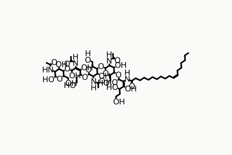 CCCCCC/C=C\CCCCCCCCCC(=O)N/C(=C(\O)C(O)CCO)C(O)OC1C(CO)OC(OC2C(CO)OC(O[C@@H](CCO)/C(O)=C(/NC(C)=O)C(O)OC3C(CO)OC(O)C(NC(C)=O)C3O)C(NC(C)=O)C2O)C(NC(C)=O)C1O